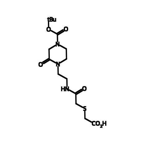 CC(C)(C)OC(=O)N1CCN(CCNC(=O)CSCC(=O)O)C(=O)C1